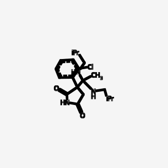 CC(C)CNC(C)(NCC(C)C)C1(c2ccccc2Cl)CC(=O)NC1=O